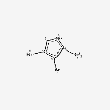 Nc1[nH]cc(Br)c1Br